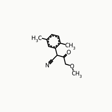 COCC(=O)C(C#N)c1cc(C)ccc1C